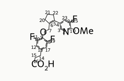 COc1ncc(C2=C(COc3c(F)cc(CCC(=O)O)cc3F)CCC2)cc1F